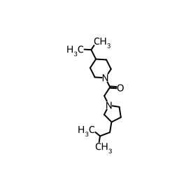 CC(C)CC1CCN(CC(=O)N2CCC(C(C)C)CC2)C1